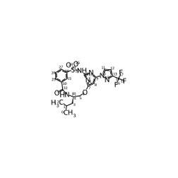 CC(C)C[C@@H]1COc2cc(-n3ccc(C(F)(F)F)n3)nc(n2)NS(=O)(=O)c2cccc(c2)C(=O)N1